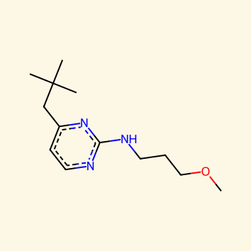 COCCCNc1nccc(CC(C)(C)C)n1